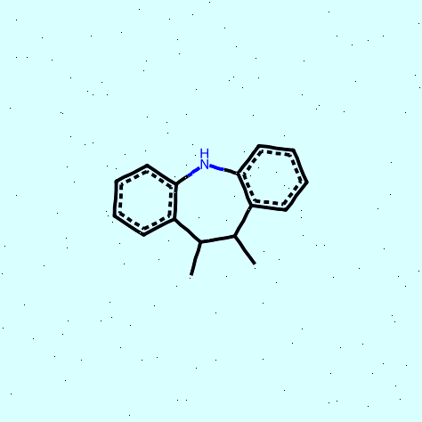 CC1c2ccccc2Nc2ccccc2C1C